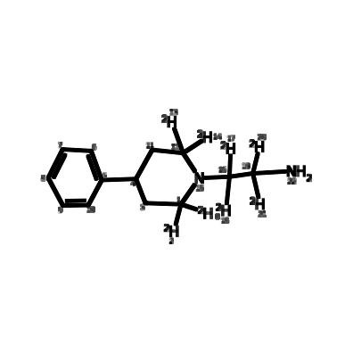 [2H]C1([2H])CC(c2ccccc2)CC([2H])([2H])N1C([2H])([2H])C([2H])([2H])N